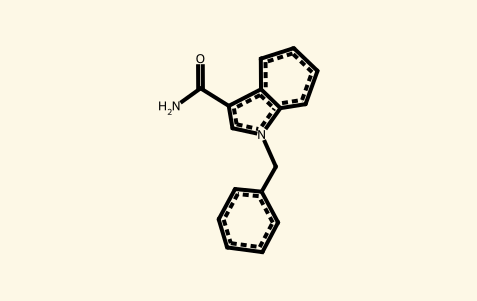 NC(=O)c1cn(Cc2ccccc2)c2ccccc12